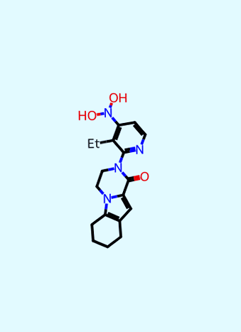 CCc1c(N(O)O)ccnc1N1CCn2c(cc3c2CCCC3)C1=O